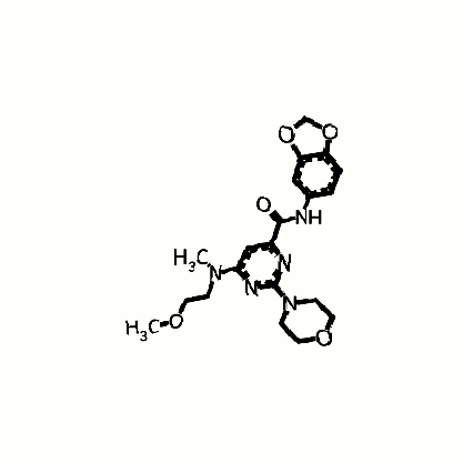 COCCN(C)c1cc(C(=O)Nc2ccc3c(c2)OCO3)nc(N2CCOCC2)n1